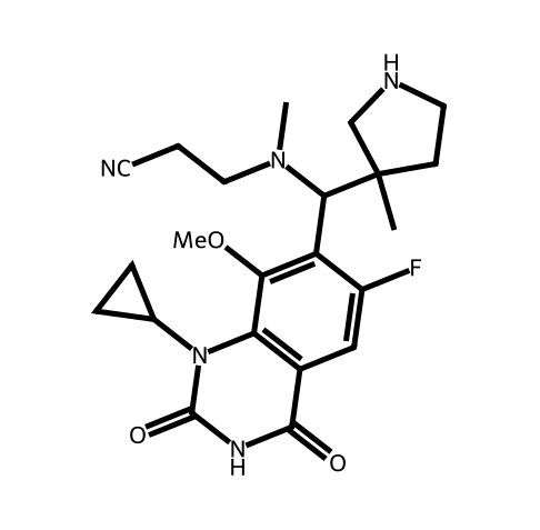 COc1c(C(N(C)CCC#N)C2(C)CCNC2)c(F)cc2c(=O)[nH]c(=O)n(C3CC3)c12